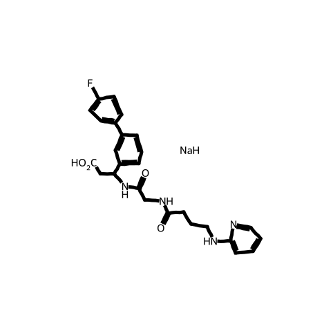 O=C(O)CC(NC(=O)CNC(=O)CCCNc1ccccn1)c1cccc(-c2ccc(F)cc2)c1.[NaH]